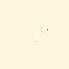 CCOC(=O)C(C)=NN1CCc2ccc(F)cc21